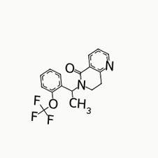 CC(c1ccccc1OC(F)(F)F)N1CCc2ncccc2C1=O